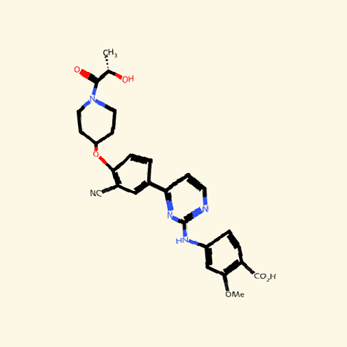 COc1cc(Nc2nccc(-c3ccc(OC4CCN(C(=O)[C@H](C)O)CC4)c(C#N)c3)n2)ccc1C(=O)O